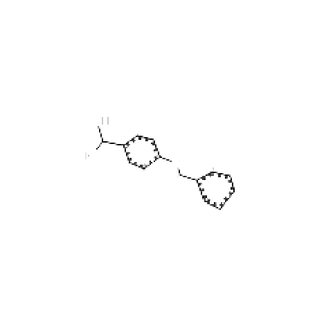 OC(O)c1ccc(OCc2ccccc2)cc1